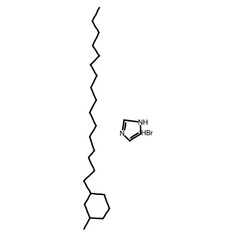 Br.CCCCCCCCCCCCCCCCC1CCCC(C)C1.c1c[nH]cn1